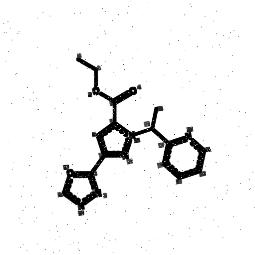 CCOC(=O)c1cc(-c2nnco2)nn1C(C)c1ccccn1